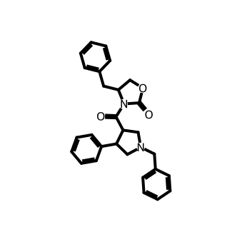 O=C1OCC(Cc2ccccc2)N1C(=O)C1CN(Cc2ccccc2)CC1c1ccccc1